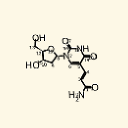 NC(=O)/C=C/c1cn([C@H]2C[C@@H](O)[C@@H](CO)O2)c(=O)[nH]c1=O